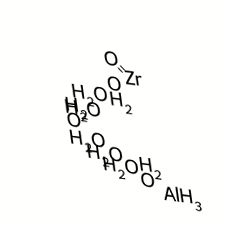 O.O.O.O.O.O.O.O.[AlH3].[O]=[Zr]